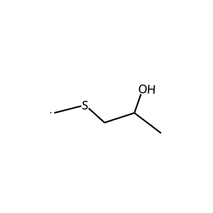 [CH2]SCC(C)O